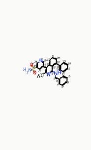 N#Cc1nc(NCc2ccccc2)c2c(-c3ccccc3)cccc2c1-c1cncc(S(N)(=O)=O)c1